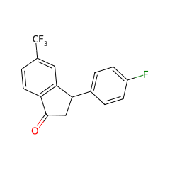 O=C1CC(c2ccc(F)cc2)c2cc(C(F)(F)F)ccc21